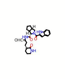 O=C[C@H](CC[C@@H]1CCCNC1=O)NC(=O)[C@@H]1[C@H]2CCC[C@H]2CN1C(=O)c1cc2ccccc2[nH]1